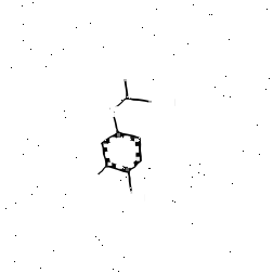 CCC(Nc1ccc(O)c(F)c1)C(=O)O